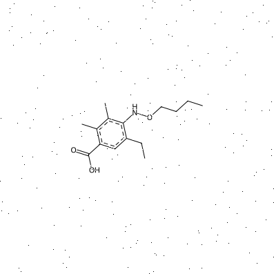 CCCCONc1c(CC)cc(C(=O)O)c(C)c1C